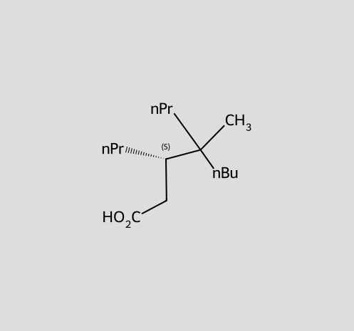 CCCCC(C)(CCC)[C@@H](CCC)CC(=O)O